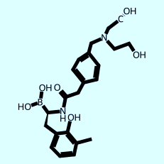 Cc1cccc(C[C@H](NC(=O)Cc2ccc(CN(CCO)CCO)cc2)B(O)O)c1O